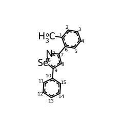 Cc1ccccc1-c1cc(-c2ccccc2)[se]n1